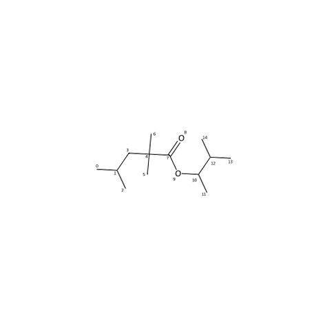 CC(C)CC(C)(C)C(=O)OC(C)C(C)C